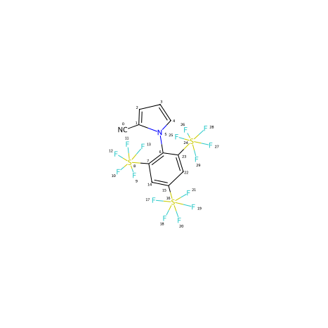 N#Cc1cccn1-c1c(S(F)(F)(F)(F)F)cc(S(F)(F)(F)(F)F)cc1S(F)(F)(F)(F)F